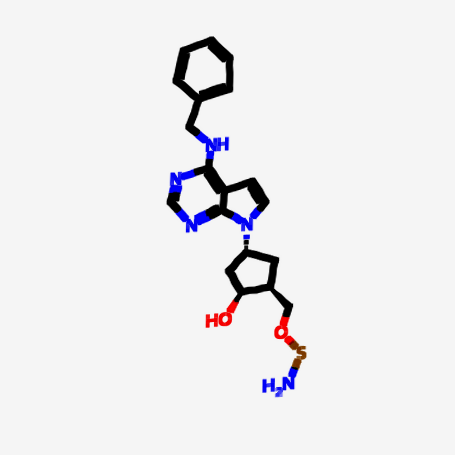 NSOC[C@@H]1C[C@@H](n2ccc3c(NCc4ccccc4)ncnc32)C[C@@H]1O